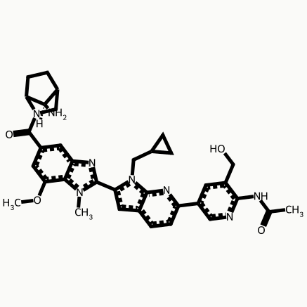 COc1cc(C(=O)N2CC3CCC2[C@@H]3N)cc2nc(-c3cc4ccc(-c5cnc(NC(C)=O)c(CO)c5)nc4n3CC3CC3)n(C)c12